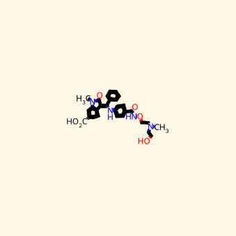 CN(CCO)CCONC(=O)c1ccc(NC(=C2C(=O)N(C)c3cc(C(=O)O)ccc32)c2ccccc2)cc1